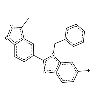 Cc1noc2ccc(-c3nc4ccc(F)cc4n3Cc3ccccc3)cc12